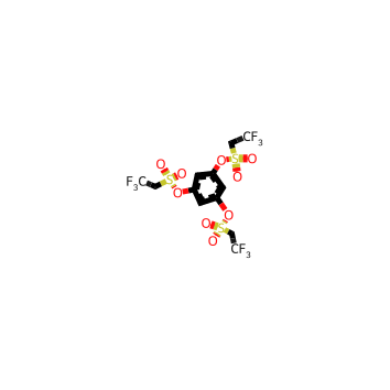 O=S(=O)(CC(F)(F)F)Oc1cc(OS(=O)(=O)CC(F)(F)F)cc(OS(=O)(=O)CC(F)(F)F)c1